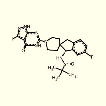 CC(C)(C)[S@@+]([O-])N[C@@H]1c2cc(F)ccc2CC12CCN(c1nc3[nH]nc(I)c3c(=O)[nH]1)CC2